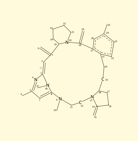 C=C1/C=C2/N=C(C)C=C(N(C)CCN3C(=C)CCC3CCc3ccc(C)cc3C(=C)N3CCCCC13)N2C